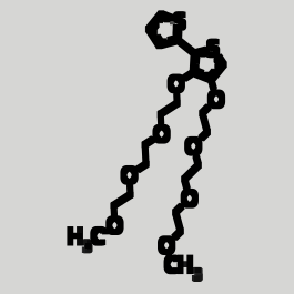 COCCOCCOCCOc1csc(-c2cccs2)c1OCCOCCOCCOC